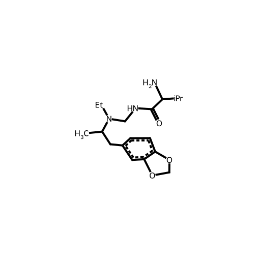 CCN(CNC(=O)C(N)C(C)C)C(C)Cc1ccc2c(c1)OCO2